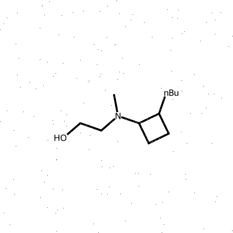 CCCCC1CCC1N(C)CCO